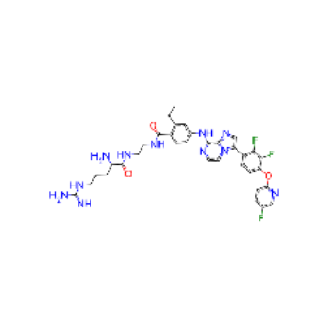 CCc1cc(Nc2nccn3c(-c4ccc(Oc5ccc(F)cn5)c(F)c4F)cnc23)ccc1C(=O)NCCNC(=O)C(N)CCCNC(=N)N